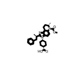 COC(=O)N1c2ccc3c(nc([C@H](C)Cc4ccccc4)n3[C@H]3CC[C@@H](C(=O)O)CC3)c2CC[C@@H]1C